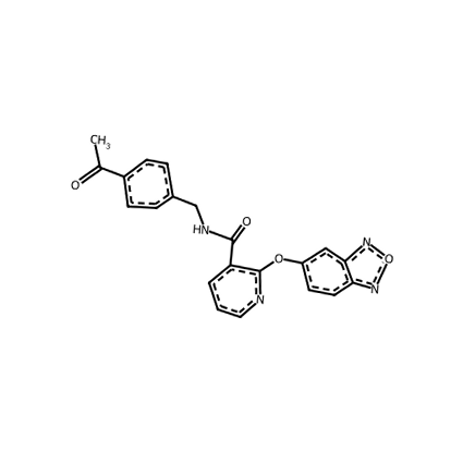 CC(=O)c1ccc(CNC(=O)c2cccnc2Oc2ccc3nonc3c2)cc1